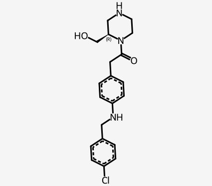 O=C(Cc1ccc(NCc2ccc(Cl)cc2)cc1)N1CCNC[C@@H]1CO